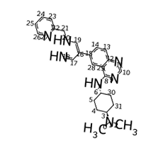 CN(C)[C@H]1CC[C@H](Nc2ncnc3ccc(/C(C=N)=C/NCc4ccccn4)cc23)CC1